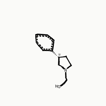 OCN1CC[C@@H](c2ccccc2)C1